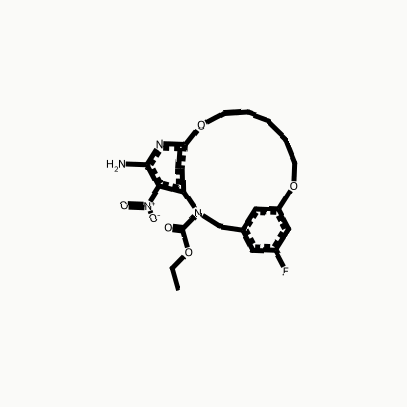 CCOC(=O)N1Cc2cc(F)cc(c2)OCCCCCOc2cc1c([N+](=O)[O-])c(N)n2